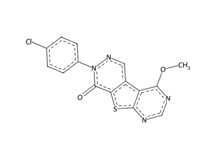 COc1ncnc2sc3c(=O)n(-c4ccc(Cl)cc4)ncc3c12